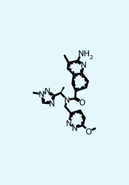 COc1ccc(CN(C(=O)c2ccc3nc(N)c(C)cc3c2)[C@H](C)c2ncn(C)n2)nn1